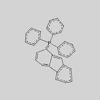 C1=CC(=P(c2ccccc2)(c2ccccc2)c2ccccc2)C2=Cc3ccccc3C2=C1